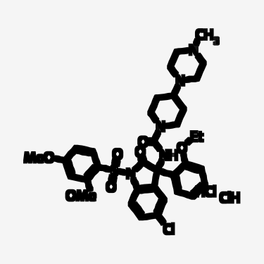 CCOc1ccccc1C1(NC(=O)N2CCC(N3CCN(C)CC3)CC2)C(=O)N(S(=O)(=O)c2ccc(OC)cc2OC)c2ccc(Cl)cc21.Cl.Cl